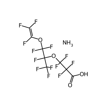 N.O=C(O)C(F)(F)C(F)(F)OC(F)(C(F)(F)F)C(F)(F)OC(F)=C(F)F